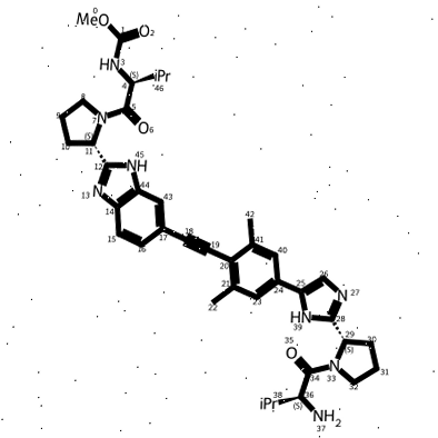 COC(=O)N[C@H](C(=O)N1CCC[C@H]1c1nc2ccc(C#Cc3c(C)cc(-c4cnc([C@@H]5CCCN5C(=O)[C@@H](N)C(C)C)[nH]4)cc3C)cc2[nH]1)C(C)C